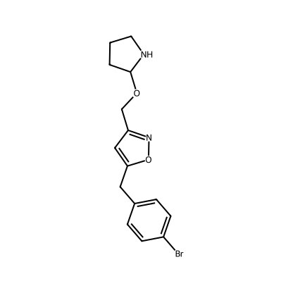 Brc1ccc(Cc2cc(COC3CCCN3)no2)cc1